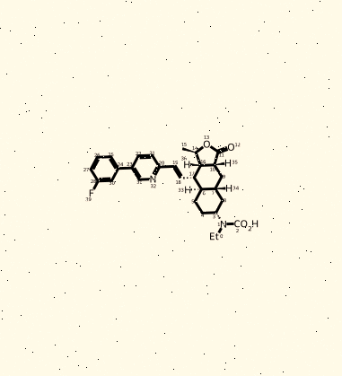 CCN(C(=O)O)[C@@H]1CC[C@@H]2[C@@H](C1)C[C@H]1C(=O)O[C@H](C)[C@H]1[C@H]2C=Cc1ccc(-c2cccc(F)c2)cn1